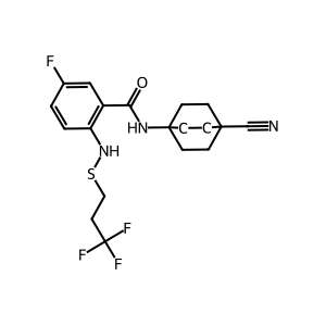 N#CC12CCC(NC(=O)c3cc(F)ccc3NSCCC(F)(F)F)(CC1)CC2